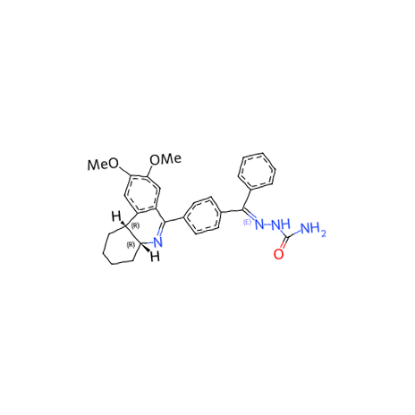 COc1cc2c(cc1OC)[C@H]1CCCC[C@H]1N=C2c1ccc(/C(=N/NC(N)=O)c2ccccc2)cc1